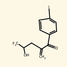 C=C(CC(O)C(F)(F)F)C(=O)c1ccc(I)cc1